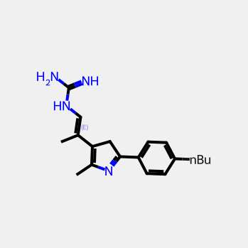 CCCCc1ccc(C2=NC(C)=C(/C(C)=C/NC(=N)N)C2)cc1